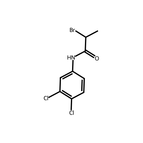 CC(Br)C(=O)Nc1ccc(Cl)c(Cl)c1